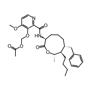 CCCC[C@@H]1[C@@H](Cc2ccccc2)CCC[C@H](NC(=O)c2nccc(OC)c2OCOC(C)=O)C(=O)O[C@H]1C